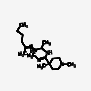 CCCC/C(C)=N/NC(C)N/C(=N\C)C1(C)CCN(C)CC1